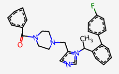 CC(c1ccccc1-c1ccc(F)cc1)n1cncc1CN1CCN(C(=O)c2ccccc2)CC1